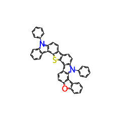 c1ccc(-n2c3ccccc3c3c4sc5c(ccc6c5c5ccc7oc8ccccc8c7c5n6-c5ccccc5)c4ccc32)cc1